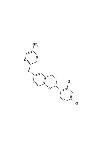 O=[N+]([O-])c1ccc(Oc2ccc3c(c2)CCC(c2ccc(Cl)cc2Cl)O3)nc1